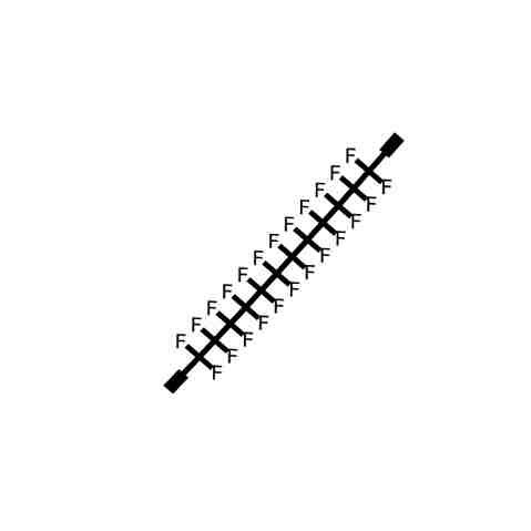 C#CC(F)(F)C(F)(F)C(F)(F)C(F)(F)C(F)(F)C(F)(F)C(F)(F)C(F)(F)C(F)(F)C(F)(F)C(F)(F)C(F)(F)C#C